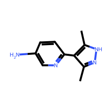 Cc1n[nH]c(C)c1-c1ccc(N)cn1